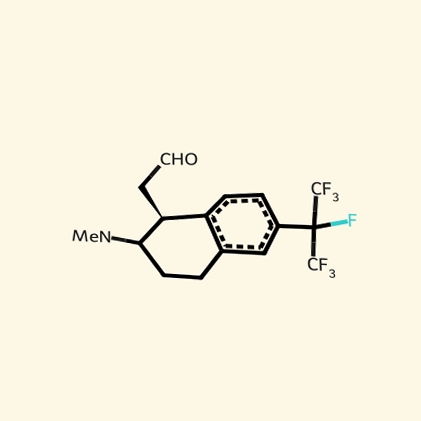 CNC1CCc2cc(C(F)(C(F)(F)F)C(F)(F)F)ccc2[C@@H]1CC=O